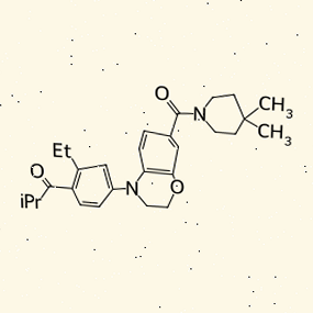 CCc1cc(N2CCOc3cc(C(=O)N4CCC(C)(C)CC4)ccc32)ccc1C(=O)C(C)C